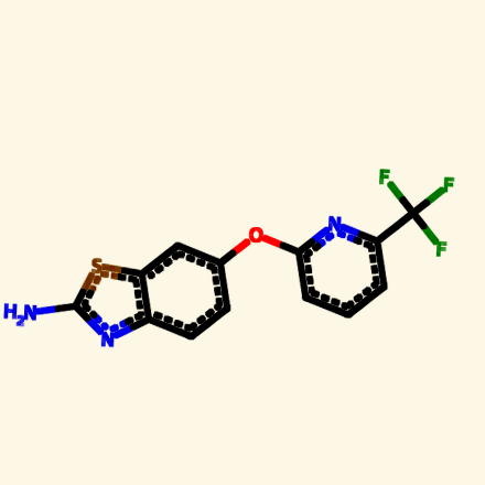 Nc1nc2ccc(Oc3cccc(C(F)(F)F)n3)cc2s1